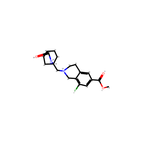 COC(=O)c1cc(F)c2c(c1)CCN(CC13CCC(CC1)C(=O)N3)C2